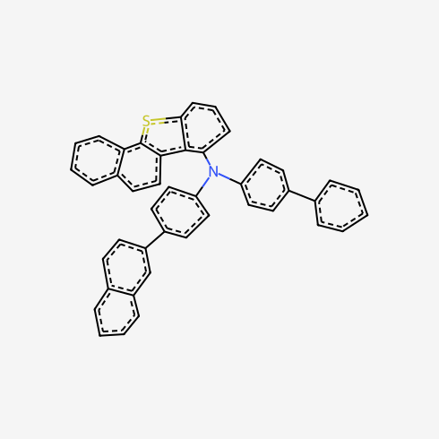 c1ccc(-c2ccc(N(c3ccc(-c4ccc5ccccc5c4)cc3)c3cccc4sc5c6ccccc6ccc5c34)cc2)cc1